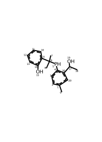 Cc1ccc(PC(C)(C)c2ccccc2O)c(C(C)O)c1